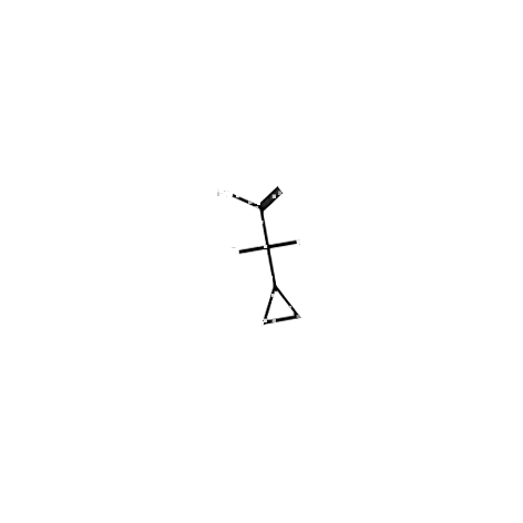 CC(C)C(=O)C(F)(F)C1CC1